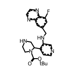 CC(C)(C)OC(=O)N1CCNCC1c1ccncc1NCc1cc(F)c2nccnc2c1